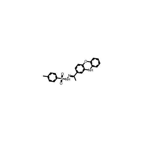 C/C(=N\NS(=O)(=O)c1ccc(C)cc1)c1ccc2c(c1)Nc1ccccc1O2